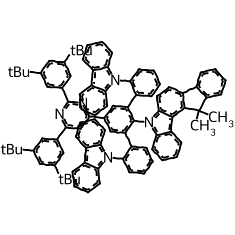 CC(C)(C)c1cc(-c2cc(-c3cc(-c4ccccc4-n4c5ccccc5c5ccccc54)c(-n4c5ccccc5c5c6c(ccc54)-c4ccccc4C6(C)C)c(-c4ccccc4-n4c5ccccc5c5ccccc54)c3)nc(-c3cc(C(C)(C)C)cc(C(C)(C)C)c3)n2)cc(C(C)(C)C)c1